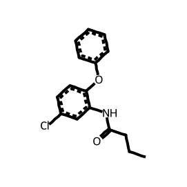 CCCC(=O)Nc1cc(Cl)ccc1Oc1ccccc1